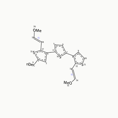 CCCCCCCCCCc1cc(-c2ccc(-c3ccsc3/C=C/OC)s2)c(/C=C/OC)s1